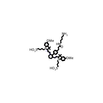 COc1ccc2c(c1)C(C)(C)C(/C=C/C1=C(c3ccc(CCC(=O)NCCCCCN)cc3)C(=C/C=C3/N(CCCCS(=O)(=O)O)c4ccc(OC)cc4C3(C)C)/CCC1)=[N+]2CCCCS(=O)(=O)O